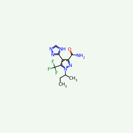 CCC(C)n1nc(C(N)=O)c(-c2nnc[nH]2)c1C(F)(F)F